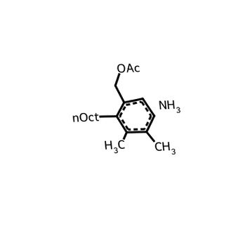 CCCCCCCCc1c(COC(C)=O)ccc(C)c1C.N